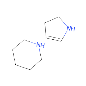 C1=CNCC1.C1CCNCC1